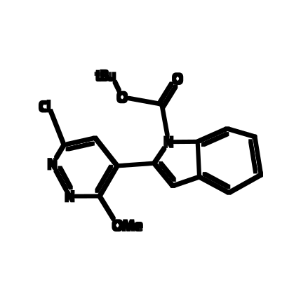 COc1nnc(Cl)cc1-c1cc2ccccc2n1C(=O)OC(C)(C)C